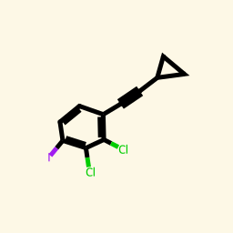 Clc1c(I)ccc(C#CC2CC2)c1Cl